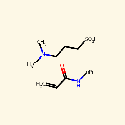 C=CC(=O)NCCC.CN(C)CCCS(=O)(=O)O